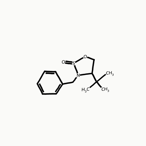 CC(C)(C)C1COS(=O)N1Cc1ccccc1